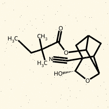 CCC(C)(C)C(=O)OC1C2CC3C1O[C@H](O)C3(C#N)C2